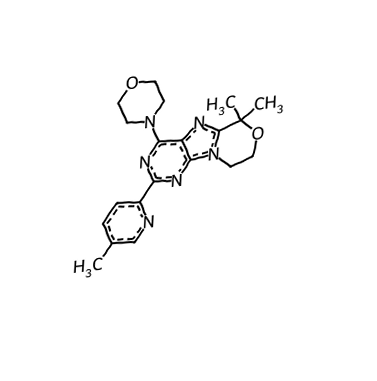 Cc1ccc(-c2nc(N3CCOCC3)c3nc4n(c3n2)CCOC4(C)C)nc1